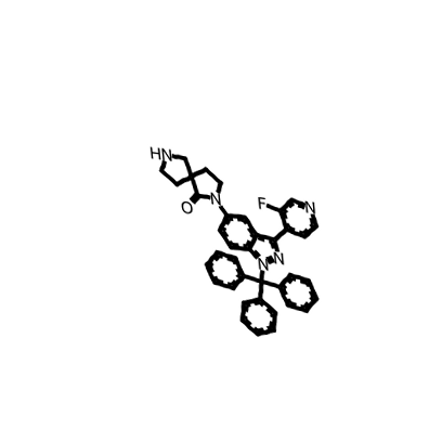 O=C1N(c2ccc3c(c2)c(-c2ccncc2F)nn3C(c2ccccc2)(c2ccccc2)c2ccccc2)CCC12CCNC2